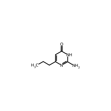 CCCc1cc(=O)[nH]c(N)n1